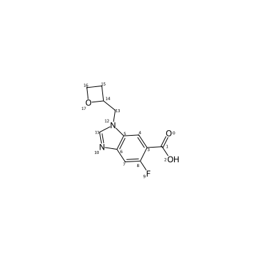 O=C(O)c1cc2c(cc1F)ncn2CC1CCO1